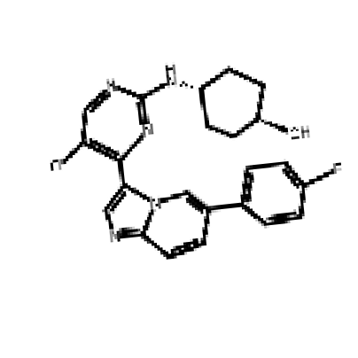 O[C@H]1CC[C@H](Nc2ncc(Cl)c(-c3cnc4ccc(-c5ccc(F)cc5)cn34)n2)CC1